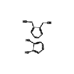 OCc1ccccc1CO.Oc1ccccc1O